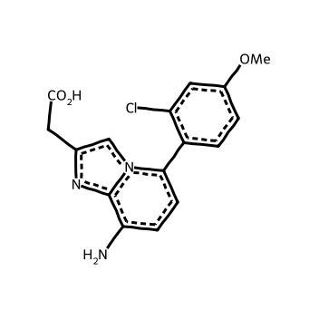 COc1ccc(-c2ccc(N)c3nc(CC(=O)O)cn23)c(Cl)c1